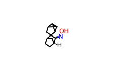 O/N=C1/[C@@H]2CCC(C2)C12CC1C=CC2C1